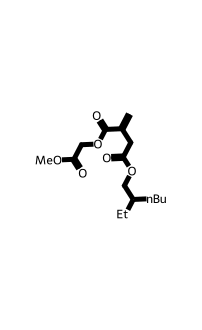 C=C(CC(=O)OCC(CC)CCCC)C(=O)OCC(=O)OC